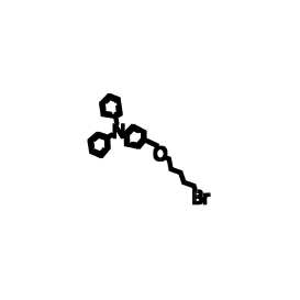 BrCCCCCOCc1ccc(N(c2ccccc2)c2ccccc2)cc1